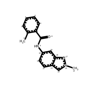 Cc1ccccc1C(=O)Nc1ccc2cn(C)nc2c1